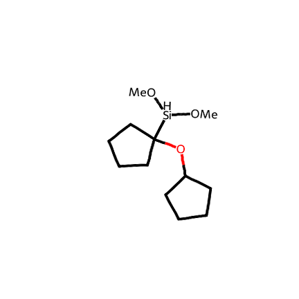 CO[SiH](OC)C1(OC2CCCC2)CCCC1